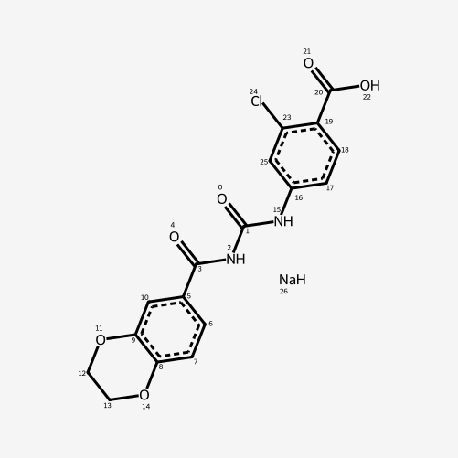 O=C(NC(=O)c1ccc2c(c1)OCCO2)Nc1ccc(C(=O)O)c(Cl)c1.[NaH]